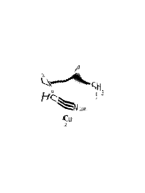 C#N.[Cu].[Li][CH2]C